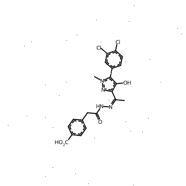 CC(=NNC(=O)Cc1ccc(C(=O)O)cc1)c1nn(C)c(-c2ccc(Cl)c(Cl)c2)c1O